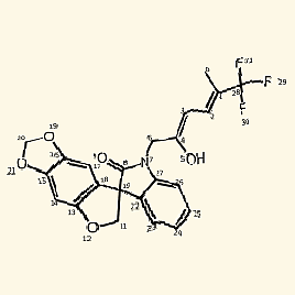 C/C(=C\C=C(/O)CN1C(=O)C2(COc3cc4c(cc32)OCO4)c2ccccc21)C(F)(F)F